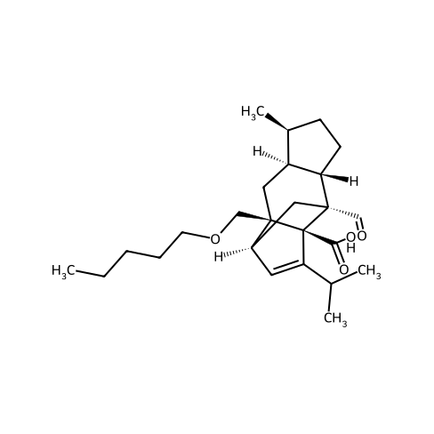 CCCCCOC[C@]12C[C@H]3[C@@H](C)CC[C@@H]3[C@]3(C=O)C[C@H]1C=C(C(C)C)[C@]23C(=O)O